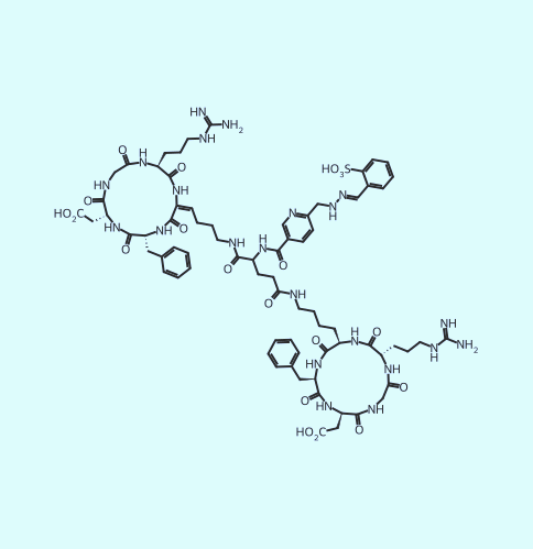 N=C(N)NCCC[C@@H]1NC(=O)CNC(=O)[C@@H](CC(=O)O)NC(=O)[C@@H](Cc2ccccc2)NC(=O)/C(=C\CCCNC(=O)C(CCC(=O)NCCCC[C@H]2NC(=O)[C@H](CCCNC(=N)N)NC(=O)CNC(=O)[C@@H](CC(=O)O)NC(=O)[C@@H](Cc3ccccc3)NC2=O)NC(=O)c2ccc(CNN=Cc3ccccc3S(=O)(=O)O)nc2)NC1=O